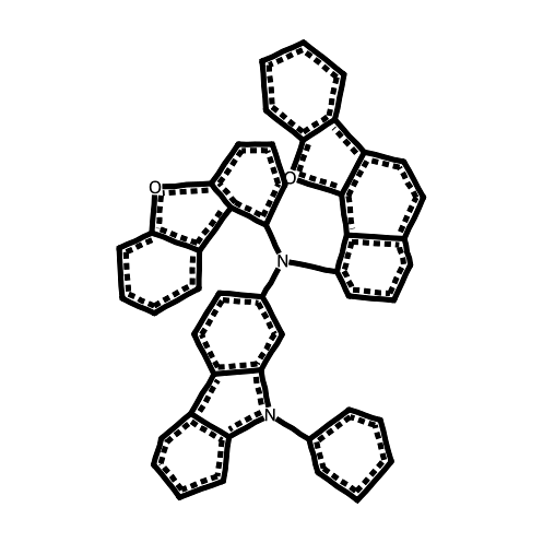 c1ccc(-n2c3ccccc3c3ccc(N(c4cccc5oc6ccccc6c45)c4cccc5ccc6c7ccccc7oc6c45)cc32)cc1